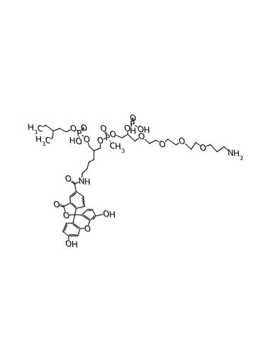 CCC(CC)CCOP(=O)(O)OCC(CCCCNC(=O)c1ccc2c(c1)C(=O)OC21c2ccc(O)cc2Oc2cc(O)ccc21)COP(C)(=O)OCC(COCCOCCOCCOCCCN)O[PH](=O)O